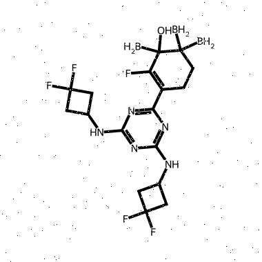 BC1(B)CCC(c2nc(NC3CC(F)(F)C3)nc(NC3CC(F)(F)C3)n2)=C(F)C1(B)O